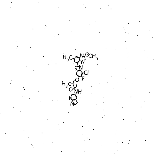 COc1cnc2c(-c3nc4c(Cl)c(F)c(OC[C@@H](C)OC(=O)Nc5cnc6c(c5)CC=N6)cc4s3)cc(C)cc2n1